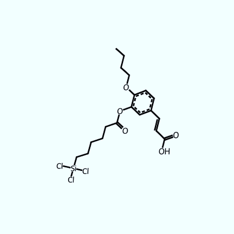 CCCCOc1ccc(/C=C/C(=O)O)cc1OC(=O)CCCCC[Si](Cl)(Cl)Cl